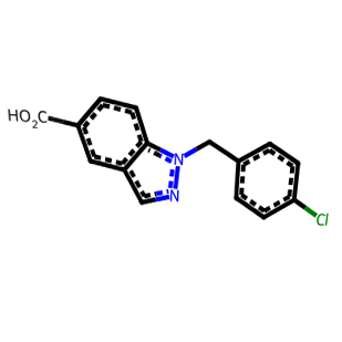 O=C(O)c1ccc2c(cnn2Cc2ccc(Cl)cc2)c1